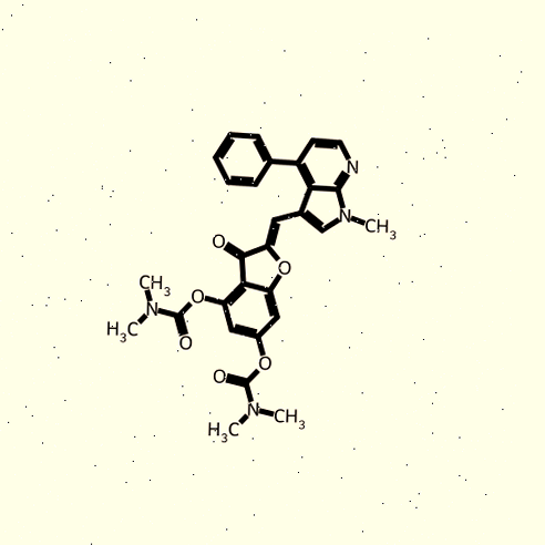 CN(C)C(=O)Oc1cc(OC(=O)N(C)C)c2c(c1)OC(=Cc1cn(C)c3nccc(-c4ccccc4)c13)C2=O